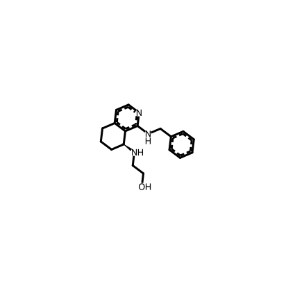 OCCN[C@H]1CCCc2ccnc(NCc3ccccc3)c21